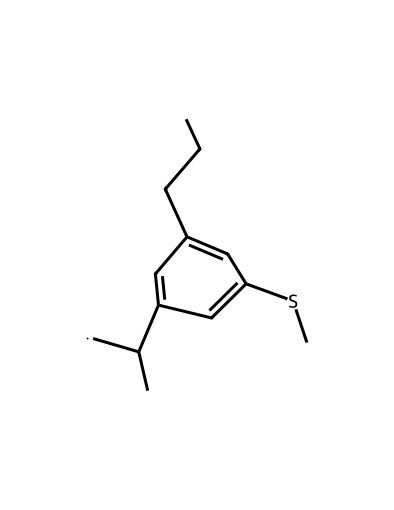 [CH2]C(C)c1cc(CCC)cc(SC)c1